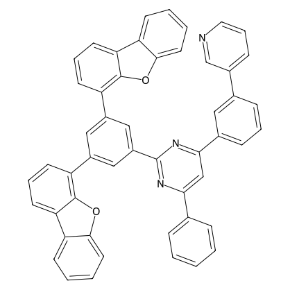 c1ccc(-c2cc(-c3cccc(-c4cccnc4)c3)nc(-c3cc(-c4cccc5c4oc4ccccc45)cc(-c4cccc5c4oc4ccccc45)c3)n2)cc1